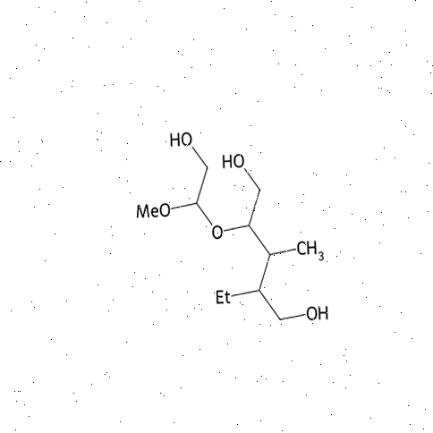 CCC(CO)C(C)C(CO)OC(CO)OC